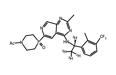 [2H]C([2H])([2H])[C@]([2H])(Nc1nc(C)nc2cnc(P3(=O)CCN(C(C)=O)CC3)cc12)c1cccc(C(F)(F)F)c1C